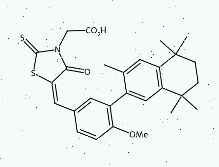 COc1ccc(C=C2SC(=S)N(CC(=O)O)C2=O)cc1-c1cc2c(cc1C)C(C)(C)CCC2(C)C